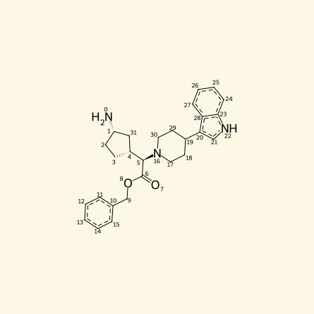 N[C@H]1CC[C@@H]([C@H](C(=O)OCc2ccccc2)N2CCC(c3c[nH]c4ccccc34)CC2)C1